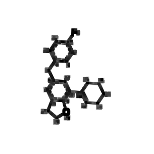 Fc1ccc(Cc2cc3c(c(C4=CCCCC4)c2)OCC3)cc1